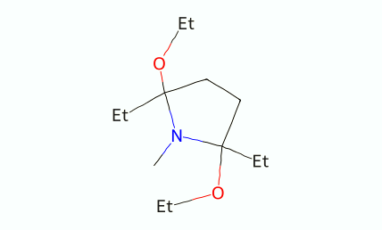 CCOC1(CC)CCC(CC)(OCC)N1C